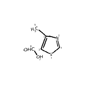 Cc1cscn1.O=CO